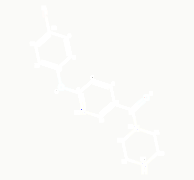 O=C(c1ccc(Oc2ccc(F)cc2)nc1)N1CCNCC1